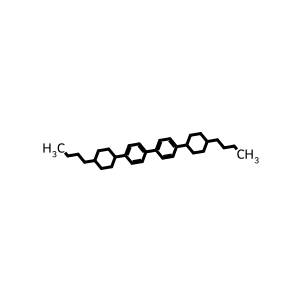 CCCCC1CCC(c2ccc(-c3ccc(C4CCC(CCCC)CC4)cc3)cc2)CC1